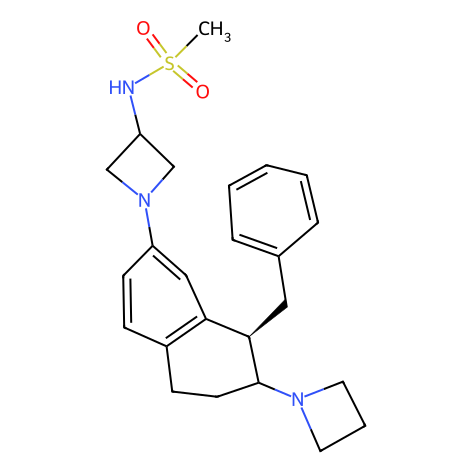 CS(=O)(=O)NC1CN(c2ccc3c(c2)[C@@H](Cc2ccccc2)C(N2CCC2)CC3)C1